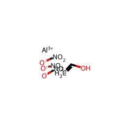 C=CO.O=[N+]([O-])[O-].O=[N+]([O-])[O-].O=[N+]([O-])[O-].[Al+3]